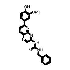 COc1cc(-c2ccc3ncc(NC(=O)NCc4ccccc4)nc3n2)ccc1O